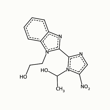 CC(O)n1c([N+](=O)[O-])cnc1-c1nc2ccccc2n1CCO